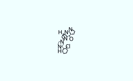 Nc1ncccc1C(=O)c1cccc(N2CCNC(c3ccccc3Cl)C2)n1